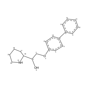 OC(COc1ccc(-c2ccccc2)cc1)C1CCCCN1